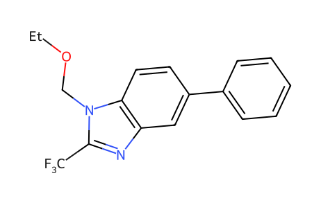 CCOCn1c(C(F)(F)F)nc2cc(-c3ccccc3)ccc21